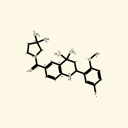 CC(C)Oc1ccc(F)cc1C1CC(C)(C)c2cc(C(=O)N3CCC(C)(O)C3)ccc2N1